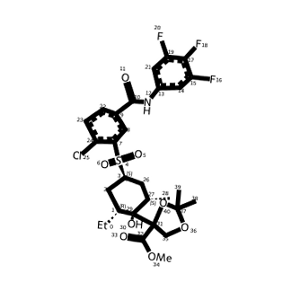 CC[C@@H]1C[C@@H](S(=O)(=O)c2cc(C(=O)Nc3cc(F)c(F)c(F)c3)ccc2Cl)C[C@H](C)[C@@]1(O)C1(C(=O)OC)COC(C)(C)O1